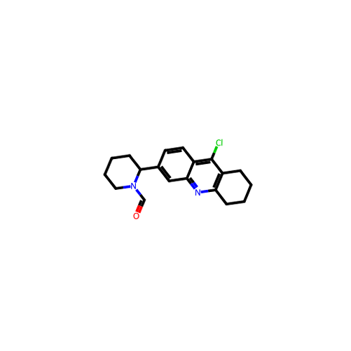 O=CN1CCCCC1c1ccc2c(Cl)c3c(nc2c1)CCCC3